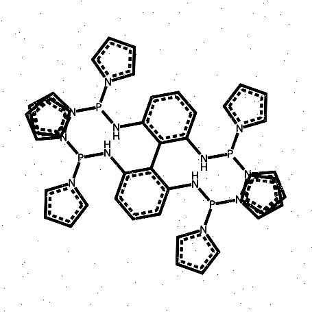 c1cc(NP(n2cccc2)n2cccc2)c(-c2c(NP(n3cccc3)n3cccc3)cccc2NP(n2cccc2)n2cccc2)c(NP(n2cccc2)n2cccc2)c1